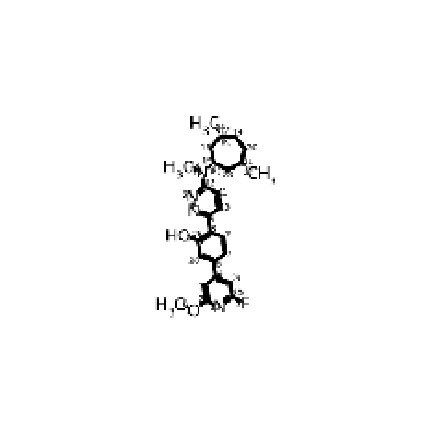 COc1cc(-c2ccc(-c3ccc(N(C)[C@H]4C[C@H](C)CC[C@H](C)C4)nn3)c(O)c2)cc(F)n1